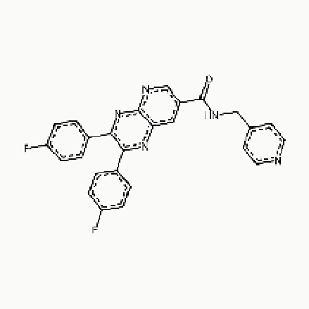 O=C(NCc1ccncc1)c1cnc2nc(-c3ccc(F)cc3)c(-c3ccc(F)cc3)nc2c1